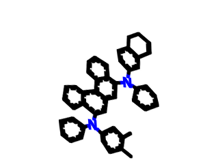 Cc1ccc(N(c2ccccc2)c2cc3cc(N(c4ccccc4)c4ccc5c(c4)C=CCC5)c4ccccc4c3c3ccccc23)cc1C